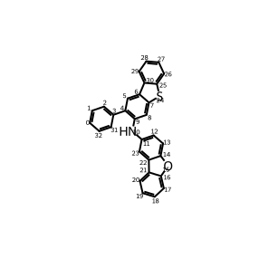 c1ccc(-c2cc3c(cc2Nc2ccc4oc5ccccc5c4c2)sc2ccccc23)cc1